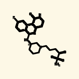 NS(=O)(=O)C(=O)CCCN1CCC[C@@H](Nc2nc3cc[nH]c(=O)c3c3cc(F)ccc23)C1